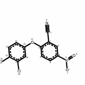 N#Cc1cc([N+](=O)[O-])ccc1Oc1ccc(Cl)c(Cl)c1